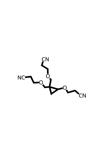 N#CCCOCC1(COCCC#N)CC1OCCC#N